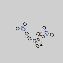 c1ccc(-c2nc(-c3ccccc3)nc(-c3ccc4c(c3)sc3ccc(-c5ccc6c(c5)-c5ccccc5C65c6ccccc6Sc6cc(-c7cccc8oc9c(-c%10nc(-c%11ccccc%11)nc(-c%11ccccc%11)n%10)cccc9c78)ccc65)cc34)n2)cc1